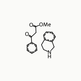 COC(=O)CC(=O)c1ccccc1.c1ccc2c(c1)CCNC2